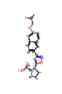 CC(C)COc1ccc2cc(-c3noc(C4CCCN4C(=O)O)n3)ccc2c1